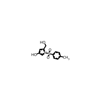 Cc1ccc(S(=O)(=O)n2cc(O)cc2CO)cc1